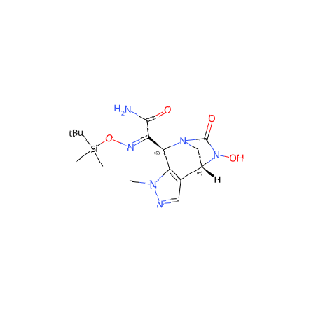 Cn1ncc2c1[C@@H](C(=NO[Si](C)(C)C(C)(C)C)C(N)=O)N1C[C@@H]2N(O)C1=O